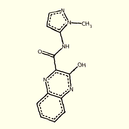 Cn1nccc1NC(=O)c1nc2ccccc2nc1O